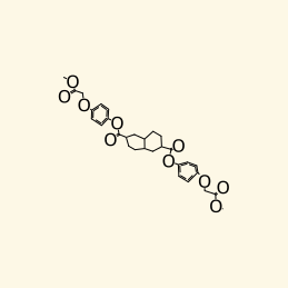 COC(=O)COc1ccc(OC(=O)C2CCC3CC(C(=O)Oc4ccc(OCC(=O)OC)cc4)CCC3C2)cc1